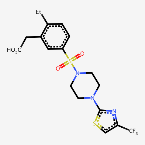 CCc1ccc(S(=O)(=O)N2CCN(c3nc(C(F)(F)F)cs3)CC2)cc1CC(=O)O